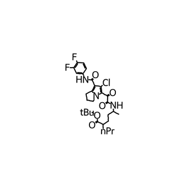 CCCC(CCC(C)NC(=O)C(=O)c1c(Cl)c(C(=O)Nc2ccc(F)c(F)c2)c2n1CCC2)C(=O)OC(C)(C)C